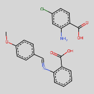 COc1ccc(C=Nc2ccccc2C(=O)O)cc1.Nc1cc(Cl)ccc1C(=O)O